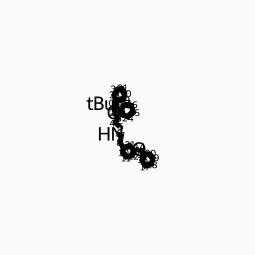 CC(C)(C)[Si](OCCCNCCc1cccc(Oc2ccccc2)c1)(c1ccccc1)c1ccccc1